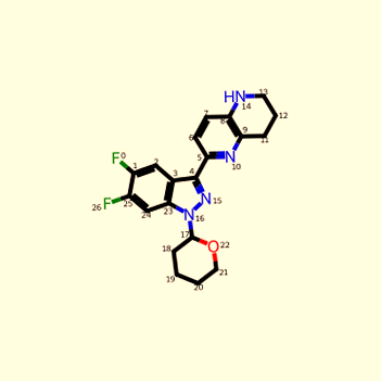 Fc1cc2c(-c3ccc4c(n3)CCCN4)nn(C3CCCCO3)c2cc1F